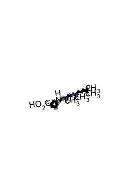 CC(C)=CCC/C(C)=C/CC/C(C)=C/CNc1cccc(C(=O)O)c1